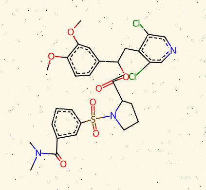 COc1ccc(C(Cc2c(Cl)cncc2Cl)OC(=O)C2CCCN2S(=O)(=O)c2cccc(C(=O)N(C)C)c2)cc1OC